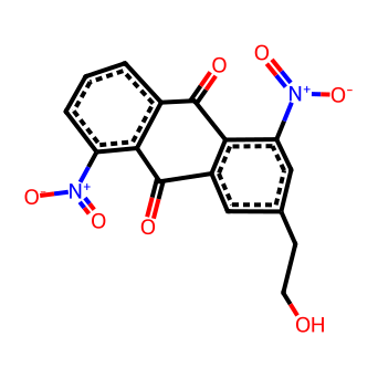 O=C1c2cc(CCO)cc([N+](=O)[O-])c2C(=O)c2cccc([N+](=O)[O-])c21